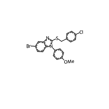 COc1ccc(-n2c(SCc3ccc(Cl)cc3)nc3cc(Br)ccc32)cc1